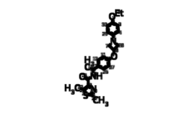 CCOc1ccc(N2CC(Oc3ccc([C@H](C)NC(=O)c4nc(C)sc4C)cc3)C2)cc1